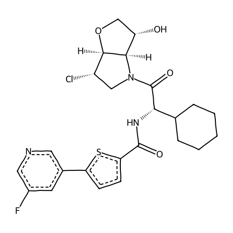 O=C(N[C@H](C(=O)N1C[C@H](Cl)[C@H]2OC[C@H](O)[C@H]21)C1CCCCC1)c1ccc(-c2cncc(F)c2)s1